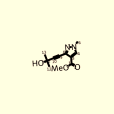 COC(=O)c1cn(C)nc1C#CC(C)(C)O